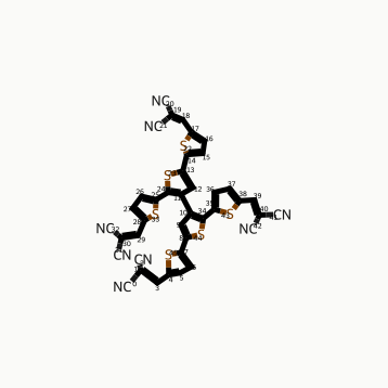 N#CC(C#N)=Cc1ccc(-c2cc(-c3cc(-c4ccc(C=C(C#N)C#N)s4)sc3-c3ccc(C=C(C#N)C#N)s3)c(-c3ccc(C=C(C#N)C#N)s3)s2)s1